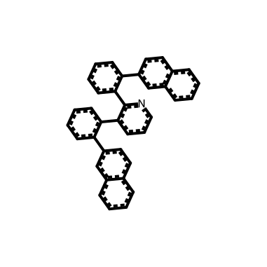 c1ccc(-c2cccnc2-c2ccccc2-c2ccc3ccccc3c2)c(-c2ccc3ccccc3c2)c1